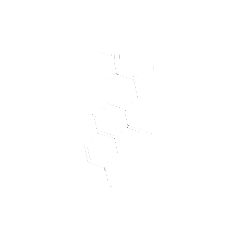 CNC(=O)C(C)Cn1cnc2ccc(Br)cc2c1=O